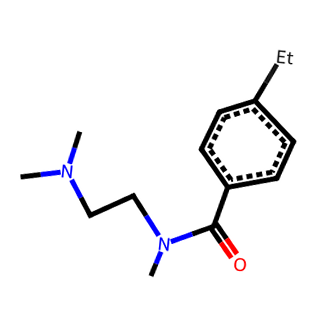 CCc1ccc(C(=O)N(C)CCN(C)C)cc1